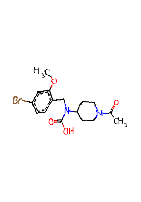 COc1cc(Br)ccc1CN(C(=O)O)C1CCN(C(C)=O)CC1